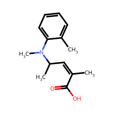 CC(=CC(C)N(C)c1ccccc1C)C(=O)O